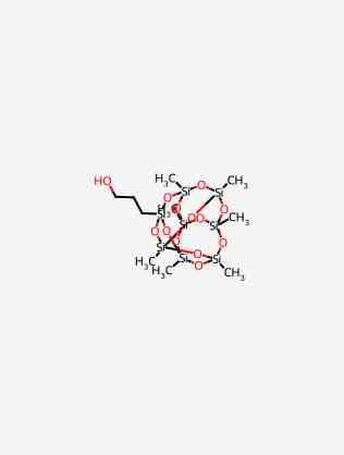 C[Si]12O[Si]3(C)O[Si]4(C)O[Si](C)(O1)O[Si]1(C)O[Si](C)(O2)O[Si](C)(O3)O[Si](CCCO)(O4)O1